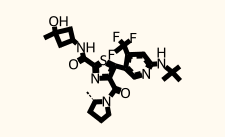 C[C@H]1CCCN1C(=O)c1nc(C(=O)NC2CC(C)(O)C2)sc1-c1cnc(NC(C)(C)C)cc1C(F)(F)F